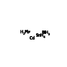 [BiH3].[Cd].[PbH2].[SnH4]